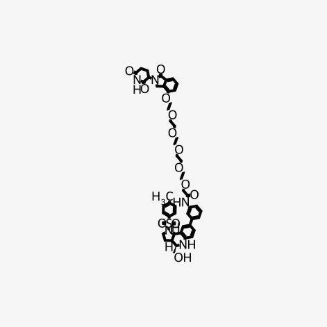 Cc1ccc(S(=O)(=O)N2CC[C@@H]3[C@H](CO)Nc4ccc(-c5cccc(NC(=O)COCCOCCOCCOCCOCCOc6cccc7c6CN(C6CCC(=O)NC6=O)C7=O)c5)cc4[C@@H]32)cc1